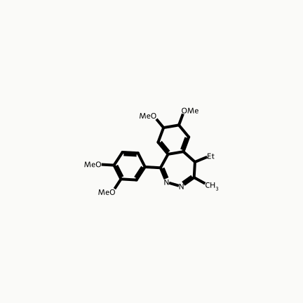 CCC1C2=CC(OC)C(OC)C=C2C(c2ccc(OC)c(OC)c2)=NN=C1C